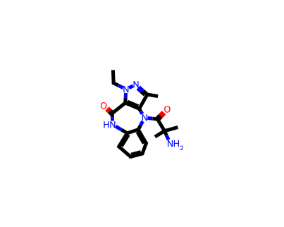 CCn1nc(C)c2c1C(=O)Nc1ccccc1N2C(=O)C(C)(C)N